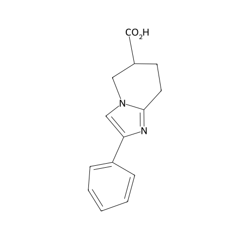 O=C(O)C1CCc2nc(-c3ccccc3)cn2C1